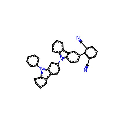 N#Cc1cccc(C#N)c1-c1ccc2c(c1)c1ccccc1n2-c1ccc2c3ccccc3n(-c3ccccc3)c2c1